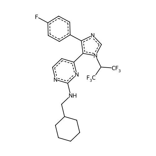 Fc1ccc(-c2ncn(C(C(F)(F)F)C(F)(F)F)c2-c2ccnc(NCC3CCCCC3)n2)cc1